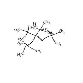 CC(C)(C)CC(C(C)(C)C)(C(C)(C)C)C(C)(C)C